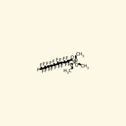 CCO[Si](OCC)(OCC)C(=O)C(F)(F)C(F)(F)C(F)(F)C(F)(F)C(F)(F)C(F)(F)C(F)(F)C(F)(F)C(F)(F)F